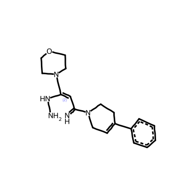 N=C(/C=C(\NN)N1CCOCC1)N1CC=C(c2ccccc2)CC1